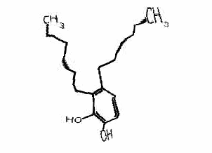 CCCCCCc1ccc(O)c(O)c1CCCCCC